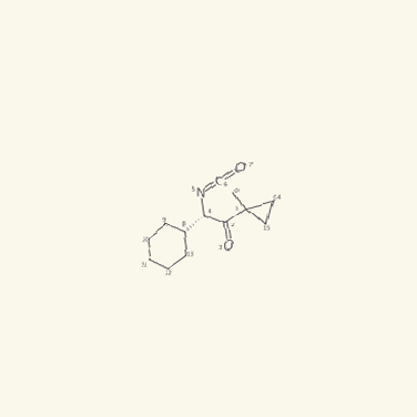 CC1(C(=O)[C@@H](N=C=O)C2CCCCC2)CC1